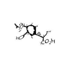 Nc1ccc(C(F)C(=O)O)cc1O